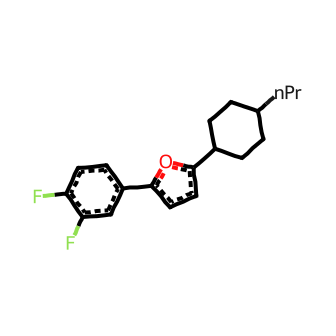 CCCC1CCC(c2ccc(-c3ccc(F)c(F)c3)o2)CC1